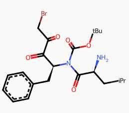 CC(C)C[C@H](N)C(=O)N(C(=O)OC(C)(C)C)[C@@H](Cc1ccccc1)C(=O)C(=O)CBr